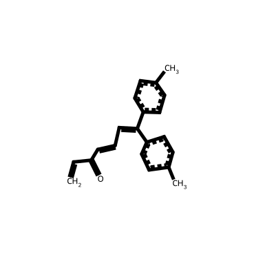 C=CC(=O)C=CC=C(c1ccc(C)cc1)c1ccc(C)cc1